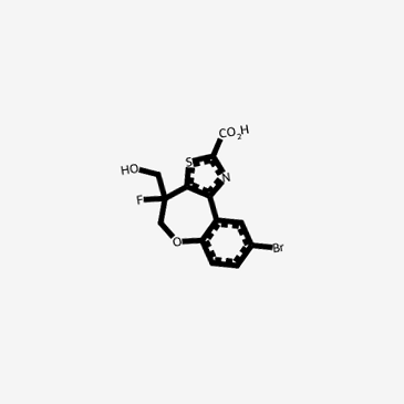 O=C(O)c1nc2c(s1)C(F)(CO)COc1ccc(Br)cc1-2